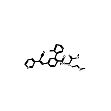 COC(=O)[C@H](CCSC)NC(=O)c1ccc(C=C(C#N)c2cccnc2)cc1-c1ccccc1C